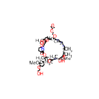 CO[C@@H]1C[C@H](C[C@@H](C)[C@@H]2CC(=O)[C@H](C)/C=C(\C)[C@@H](O)[C@@H](OC)C(=O)[C@H](C)C[C@H](C)/C=C/C=C/C=C(\C)[C@H](OCCOC3COC3)C[C@@H]3CC[C@@H](C)[C@@](O)(O3)C(=O)C(=O)N3CCCC[C@H]3C(=O)O2)CC[C@H]1OCCO